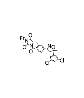 CCN1C(=O)CN(C(=O)c2ccc(C3=NOC(C)(c4cc(Cl)cc(Cl)c4)C3)cc2C)C1=O